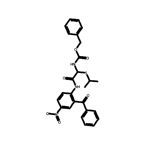 CC(C)SC(NC(=O)OCc1ccccc1)C(=O)Nc1ccc([N+](=O)[O-])cc1C(=O)c1ccccc1